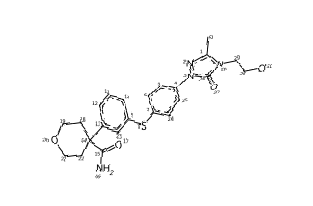 Cc1nn(-c2ccc(Sc3cccc(C4(C(N)=O)CCOCC4)c3)cc2)c(=O)n1CCCl